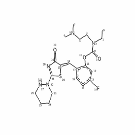 CCN(CCN(C)C)C(=O)Oc1cc(F)ccc1/C=C1\SC(N2CCCCN2)=NC1=O